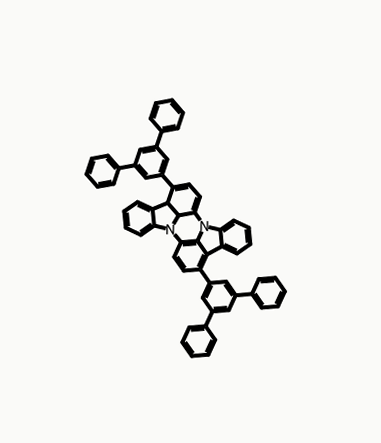 C1=C(c2cc(-c3ccccc3)cc(-c3ccccc3)c2)C2c3ccccc3N3c4ccc(-c5cc(-c6ccccc6)cc(-c6ccccc6)c5)c5c6ccccc6n(c45)C(=C1)C23